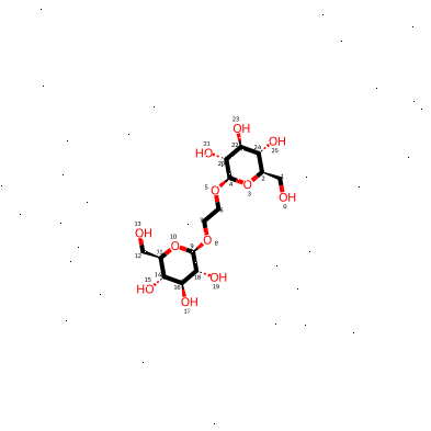 OC[C@H]1O[C@@H](OCCO[C@@H]2O[C@H](CO)[C@@H](O)[C@H](O)[C@H]2O)[C@H](O)[C@@H](O)[C@@H]1O